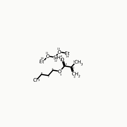 C=C(C)C(=O)OCCCCl.CCO[SiH2]OCC